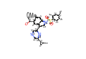 COC(=O)c1ccc2c(c1)c(-c1cncc(C3CC3)n1)cn2S(=O)(=O)c1ccc(C)cc1